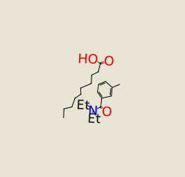 CCCCCCCCCC(=O)O.CCN(CC)C(=O)c1cccc(C)c1